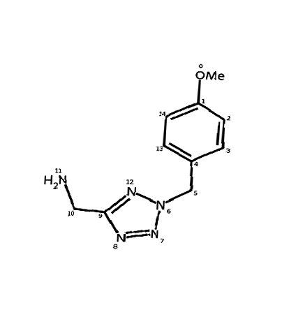 COc1ccc(Cn2nnc(CN)n2)cc1